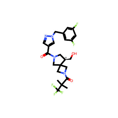 CC(C)(C(=O)N1CC2(CN(C(=O)c3cnn(Cc4cc(F)cc(F)c4)c3)C[C@H]2CO)C1)C(F)(F)F